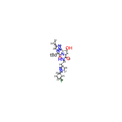 CC(C)(C)[C@@H](C(=O)N1CC(O)CC1C(=O)NCCc1ccn(-c2cccc(F)c2)n1)n1cc(C2CC2)nn1